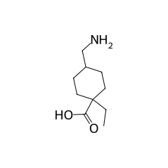 CCC1(C(=O)O)CCC(CN)CC1